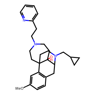 COc1ccc2c(c1)C13CCN(CCc4ccccn4)CCC1(O)C(C2)N(CC1CC1)CC3